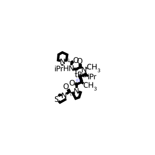 C/C(=C\C(C(C)C)N(C)C(=O)[C@@H](NC(=O)[C@H]1CCCCN1C(C)C)C(C)(C)C)C(=O)N1CCC[C@H]1C(=O)N1CCSC1